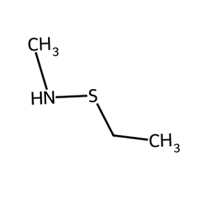 CCSNC